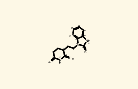 O=C1CCC(CCn2c(=O)[nH]c3cccnc32)C(=O)N1